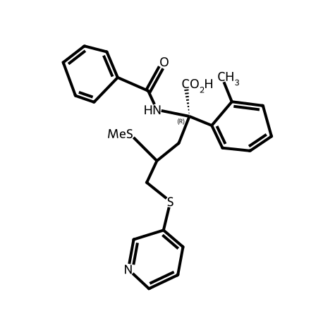 CSC(CSc1cccnc1)C[C@](NC(=O)c1ccccc1)(C(=O)O)c1ccccc1C